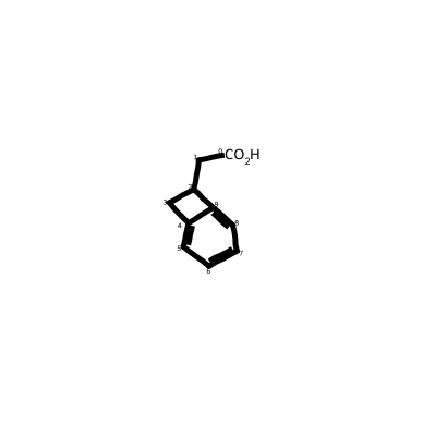 O=C(O)CC1Cc2ccccc21